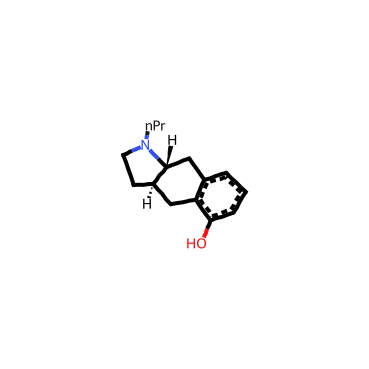 CCCN1CC[C@@H]2Cc3c(O)cccc3C[C@H]21